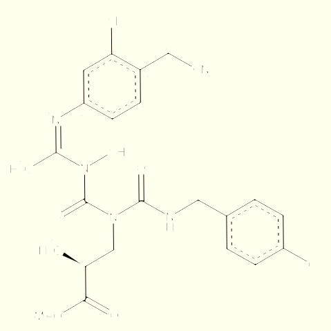 COC(=O)[C@@H](C)CN(C(=O)NCc1ccc(Cl)cc1)C(=O)N(C)/C(C)=N\c1ccc(CC#N)c(Cl)c1